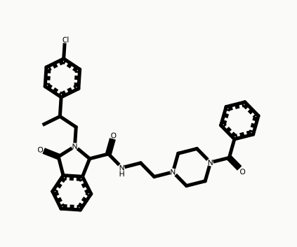 CC(CN1C(=O)c2ccccc2C1C(=O)NCCN1CCN(C(=O)c2ccccc2)CC1)c1ccc(Cl)cc1